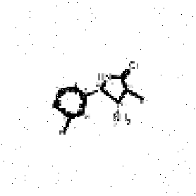 Cc1cccc([C@H]2NC(=O)C(C)[C@@H]2N)c1